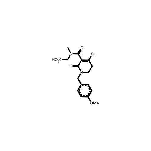 COc1ccc(CN2CCC(O)=C(C(=O)N(C)CC(=O)O)C2=O)cc1